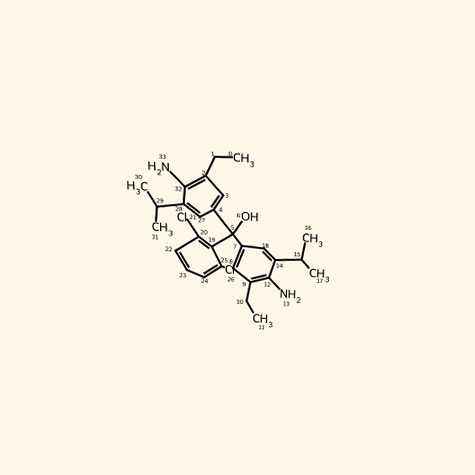 CCc1cc(C(O)(c2cc(CC)c(N)c(C(C)C)c2)c2c(Cl)cccc2Cl)cc(C(C)C)c1N